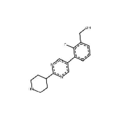 OCc1cccc(-c2cnc(C3CCNCC3)nc2)c1F